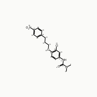 CN(C)C(=O)Nc1ccc(OCCCc2ccc([N+](=O)[O-])cc2)c(Cl)c1